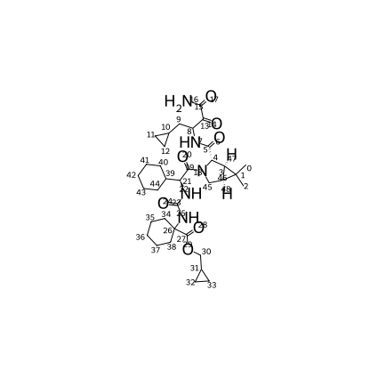 CC1(C)[C@@H]2[C@@H](C(=O)NC(CC3CC3)C(=O)C(N)=O)N(C(=O)[C@@H](NC(=O)NC3(C(=O)OCC4CC4)CCCCC3)C3CCCCC3)C[C@@H]21